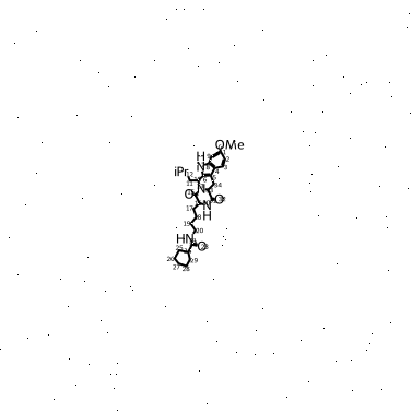 COc1ccc2c3c([nH]c2c1)C(CC(C)C)N1C(=O)C(CCCCNC(=O)C2CCCCC2)NC(=O)C1C3